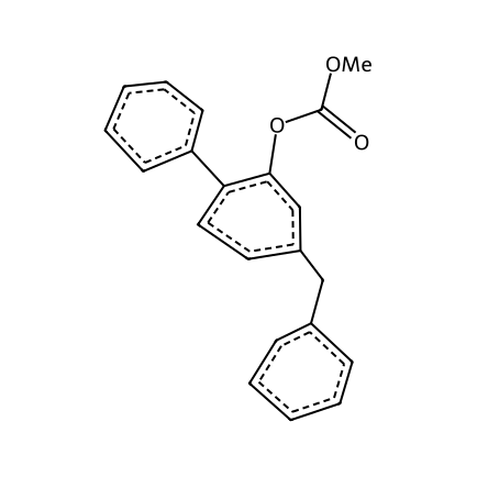 COC(=O)Oc1cc(Cc2ccccc2)ccc1-c1ccccc1